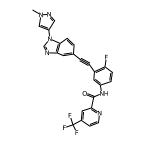 Cn1cc(-n2cnc3cc(C#Cc4cc(NC(=O)c5cc(C(F)(F)F)ccn5)ccc4F)ccc32)cn1